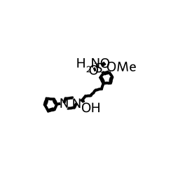 COc1ccc(CCCCC(O)N2CCN(c3ccccc3)CC2)cc1S(N)(=O)=O